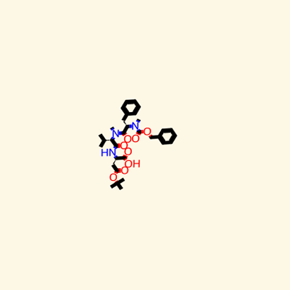 CC(C)[C@@H](C(=O)N[C@@H](CC(=O)OC(C)(C)C)C(=O)O)N(C)C(=O)[C@H](Cc1ccccc1)N(C)C(=O)OCc1ccccc1